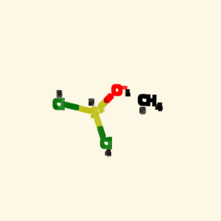 C.[O-][S+](Cl)Cl